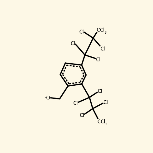 [O]Cc1ccc(C(Cl)(Cl)C(Cl)(Cl)C(Cl)(Cl)Cl)cc1C(Cl)(Cl)C(Cl)(Cl)C(Cl)(Cl)Cl